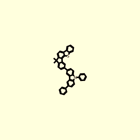 CC1(C)c2ccc(-c3ccc4c(c3)c3cc(-c5ccccc5)ccc3n4-c3ccccc3)cc2-c2c1ccc1c2sc2ccccc21